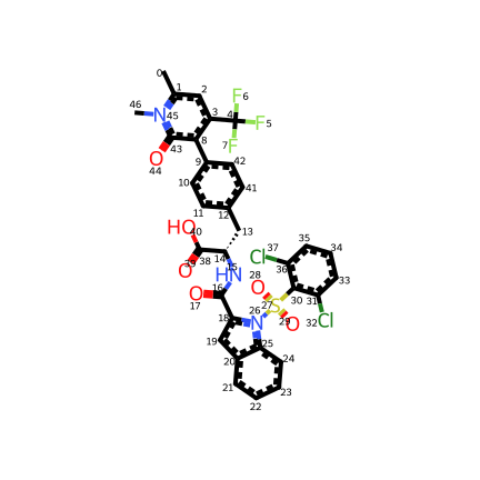 Cc1cc(C(F)(F)F)c(-c2ccc(C[C@H](NC(=O)c3cc4ccccc4n3S(=O)(=O)c3c(Cl)cccc3Cl)C(=O)O)cc2)c(=O)n1C